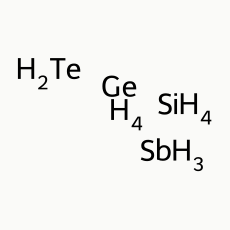 [GeH4].[SbH3].[SiH4].[TeH2]